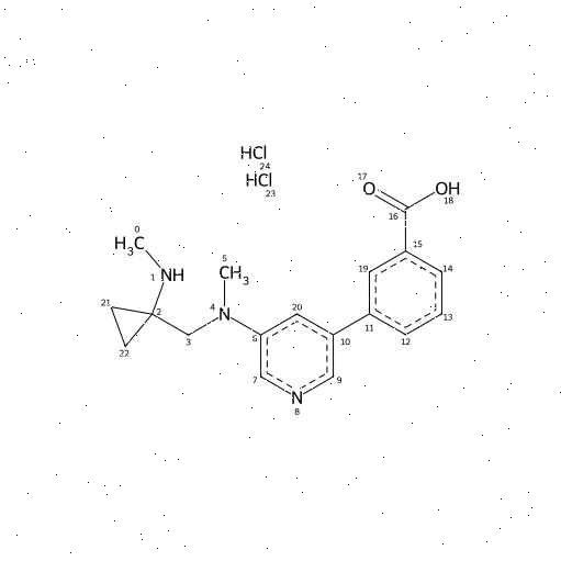 CNC1(CN(C)c2cncc(-c3cccc(C(=O)O)c3)c2)CC1.Cl.Cl